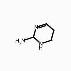 NC1N=CC[CH]N1